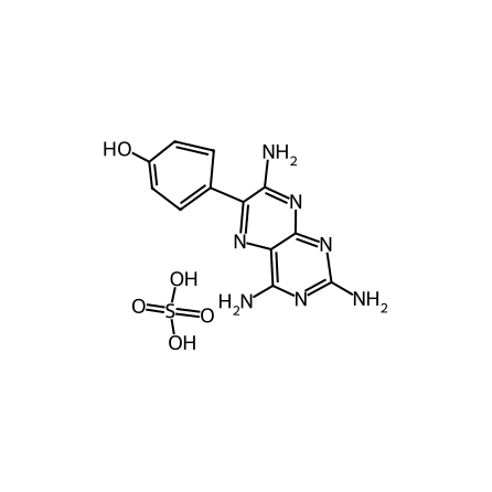 Nc1nc(N)c2nc(-c3ccc(O)cc3)c(N)nc2n1.O=S(=O)(O)O